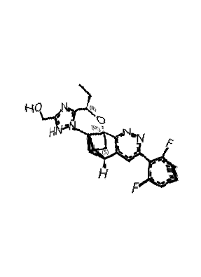 CC[C@@H](O[C@]12CC3[C@H](CC31C)c1cc(-c3c(F)cccc3F)nnc12)c1n[nH]c(CO)n1